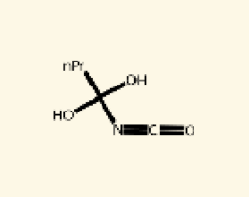 CCCC(O)(O)N=C=O